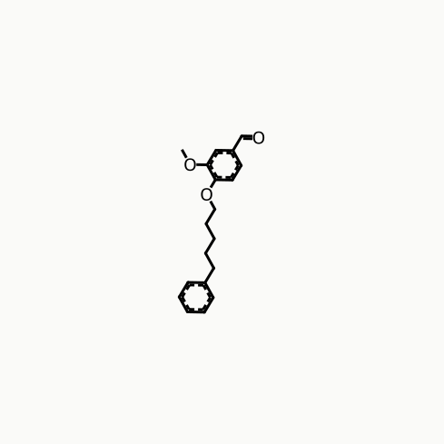 COc1cc(C=O)ccc1OCCCCCc1ccccc1